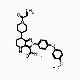 C=CC(=O)N1CCC(C2CCNc3c2nn(-c2ccc(Oc4ccc(OC)cc4)cc2)c3C(N)=O)CC1